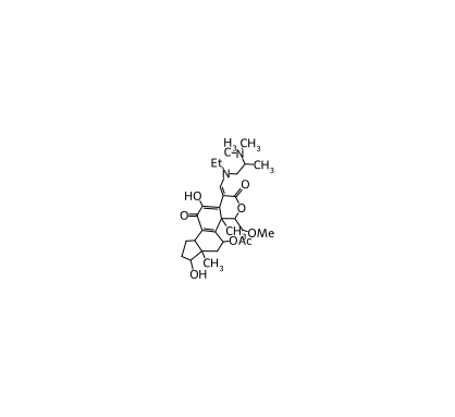 CCN(/C=C1\C(=O)OC(COC)C2(C)C1=C(O)C(=O)C1=C2C(OC(C)=O)CC2(C)C(O)CCC12)CC(C)N(C)C